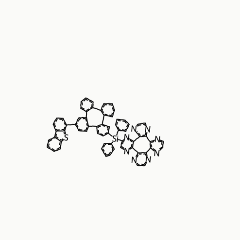 c1ccc([Si](c2ccccc2)(c2ccc3c(c2)-c2ccccc2-c2ccccc2-c2cc(-c4cccc5c4sc4ccccc45)ccc2-3)c2cnc3c(n2)-c2nccnc2-c2nccnc2-c2nccnc2-3)cc1